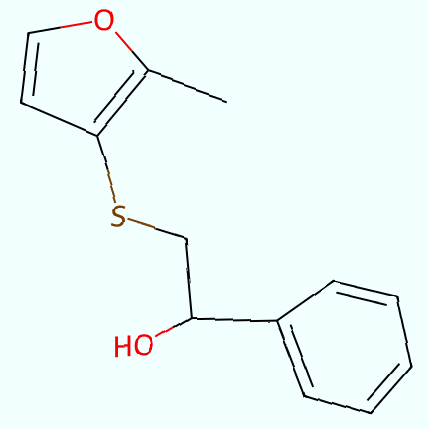 Cc1occc1SCC(O)c1ccccc1